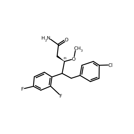 CO[C@H](CC(N)=O)C(Cc1ccc(Cl)cc1)c1ccc(F)cc1F